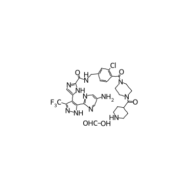 Nc1cnc(-c2[nH]nc(C(F)(F)F)c2-c2cnc(C(=O)NCc3ccc(C(=O)N4CCN(C(=O)C5CCNCC5)CC4)c(Cl)c3)[nH]2)nc1.O=CO